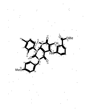 COC(=O)c1cccc(Nc2c(C)c(=O)n(C)c3c2c(=O)n(Cc2ccc(OC)cc2)c(=O)n3-c2ccc(I)cc2F)c1